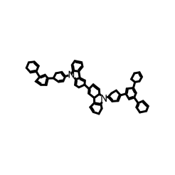 C1=CC(c2cccc(C3C=CC(n4c5c(c6ccccc64)=CC(C4=CC6C7=C(CCC=C7)N(C7=CC=C(c8cc(C9=CCCC=C9)cc(C9CC=CCC9)c8)CC7)C6C=C4)CC=5)=CC3)c2)=CCC1